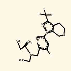 C=C(CC)N(CC)Cc1ccc(-n2nc(C(F)(F)F)c3c2COCC3)cc1F